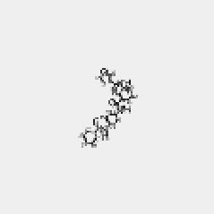 O=C(Nc1ccc(NC(=O)c2ccnc3[nH]c(-c4ccoc4)nc23)cc1)c1ccccc1